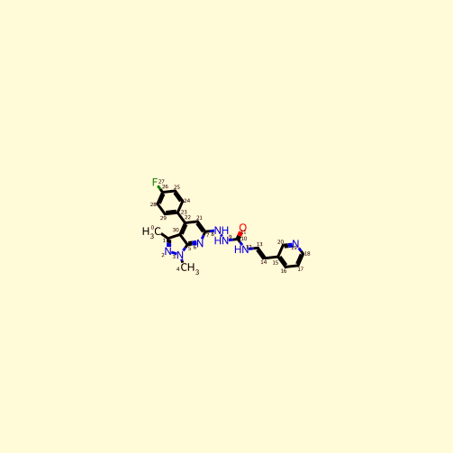 Cc1nn(C)c2nc(NNC(=O)N/C=C/c3cccnc3)cc(-c3ccc(F)cc3)c12